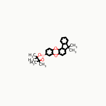 CC1(C)c2ccccc2-c2c1ccc1c2Oc2ccc(B3OC(C)(C)C(C)(C)O3)cc2O1